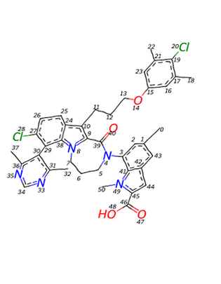 Cc1cc(N2CCCn3c(c(CCCOc4cc(C)c(Cl)c(C)c4)c4ccc(Cl)c(-c5c(C)ncnc5C)c43)C2=O)c2c(c1)cc(C(=O)O)n2C